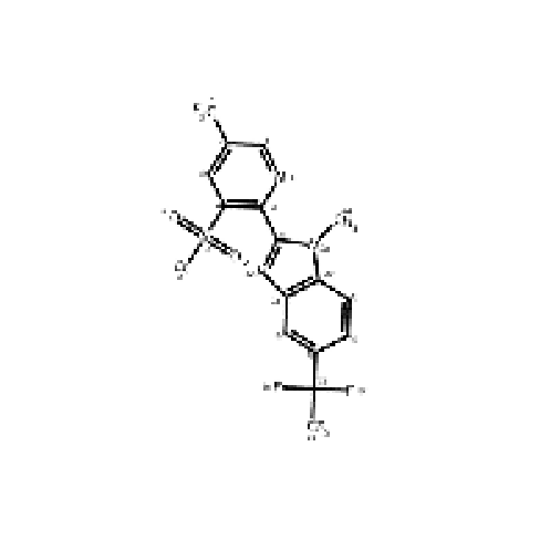 CCS(=O)(=O)c1cc(C(F)(F)F)cnc1-c1nc2cc(C(F)(F)C(F)(F)F)ccc2n1C